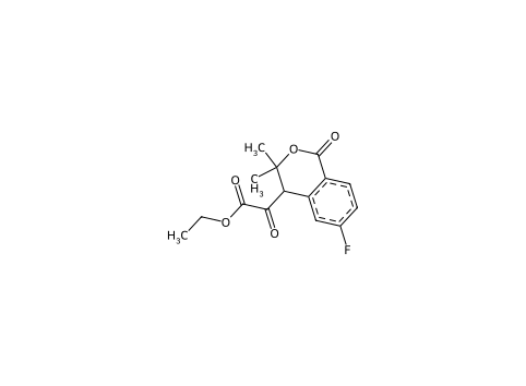 CCOC(=O)C(=O)C1c2cc(F)ccc2C(=O)OC1(C)C